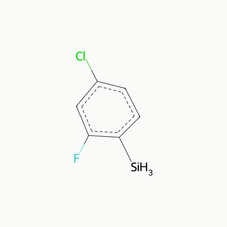 Fc1cc(Cl)ccc1[SiH3]